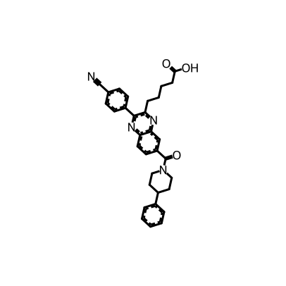 N#Cc1ccc(-c2nc3ccc(C(=O)N4CCC(c5ccccc5)CC4)cc3nc2CCCCC(=O)O)cc1